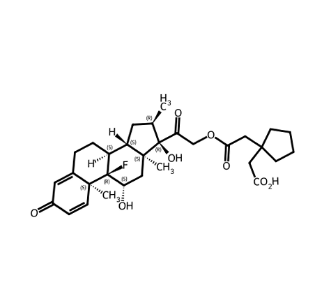 C[C@@H]1C[C@H]2[C@@H]3CCC4=CC(=O)C=C[C@]4(C)[C@@]3(F)[C@@H](O)C[C@]2(C)[C@@]1(O)C(=O)COC(=O)CC1(CC(=O)O)CCCC1